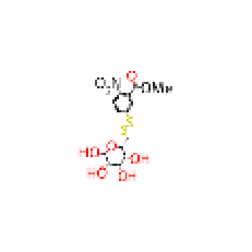 COC(=O)c1cc(SSC[C@H]2OC(O)[C@H](O)[C@@H](O)[C@H]2O)ccc1[N+](=O)[O-]